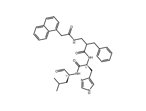 CC(C)C[C@@H](C=O)NC(=O)[C@H](Cc1c[nH]cn1)NC(=O)C(CNC(=O)Cc1cccc2ccccc12)Cc1ccccc1